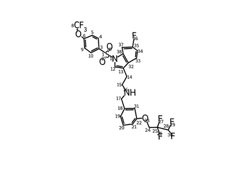 O=S(=O)(c1ccc(OC(F)(F)F)cc1)n1cc(CCNCc2cccc(OCC(F)(F)C(F)F)c2)c2ccc(F)cc21